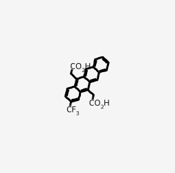 O=C(O)Cc1c2ccc(C(F)(F)F)cc2c(CC(=O)O)c2cc3ccccc3cc12